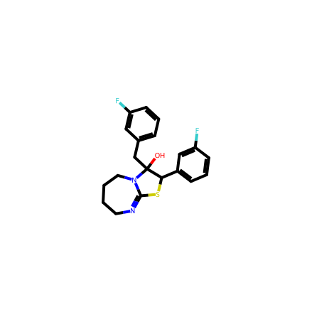 OC1(Cc2cccc(F)c2)C(c2cccc(F)c2)SC2=NCCCCN21